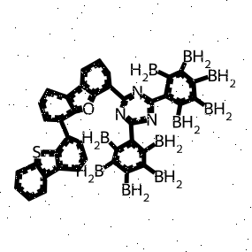 Bc1c(B)c(B)c(-c2nc(-c3c(B)c(B)c(B)c(B)c3B)nc(-c3cccc4c3oc3c(-c5cccc6c5sc5ccccc56)cccc34)n2)c(B)c1B